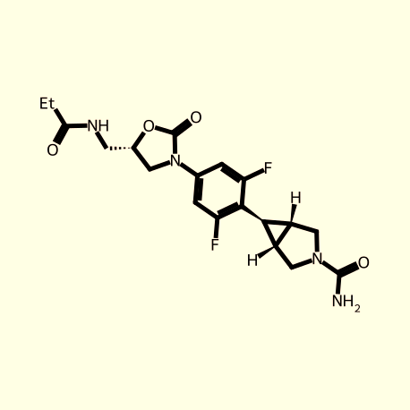 CCC(=O)NC[C@H]1CN(c2cc(F)c([C@H]3[C@@H]4CN(C(N)=O)C[C@@H]43)c(F)c2)C(=O)O1